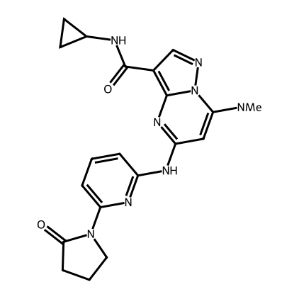 CNc1cc(Nc2cccc(N3CCCC3=O)n2)nc2c(C(=O)NC3CC3)cnn12